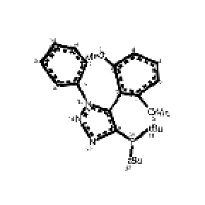 COc1cccc(OC)c1-c1c(P(C(C)(C)C)C(C)(C)C)nnn1-c1ccccc1